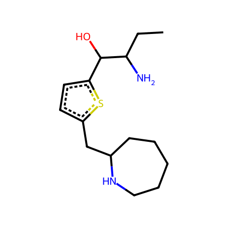 CCC(N)C(O)c1ccc(CC2CCCCCN2)s1